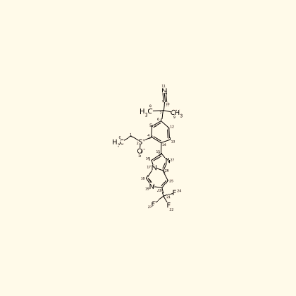 CC[S+]([O-])c1cc(C(C)(C)C#N)ccc1-c1cn2cnc(C(F)(F)F)cc2n1